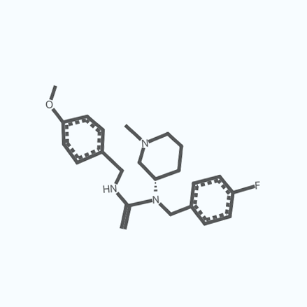 C=C(NCc1ccc(OC)cc1)N(Cc1ccc(F)cc1)[C@H]1CCCN(C)C1